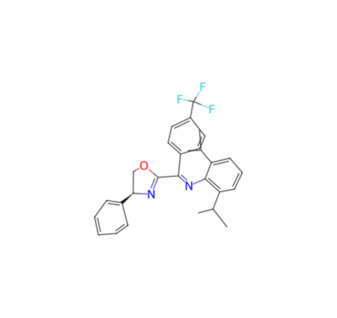 CC(C)c1cccc(C(C)C)c1/N=C(/C1=N[C@@H](c2ccccc2)CO1)c1ccc(C(F)(F)F)cc1